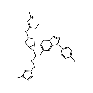 CC/C(=N\NC)SN1CC2C(COSc3cnn(C)n3)C2(c2cc3cnn(-c4ccc(F)cc4)c3cc2C)C1